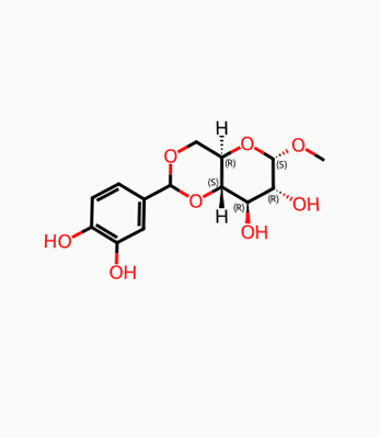 CO[C@H]1O[C@@H]2COC(c3ccc(O)c(O)c3)O[C@H]2[C@H](O)[C@H]1O